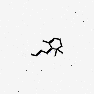 C/C=C/C=C1\C(C)=CCCC1(C)C